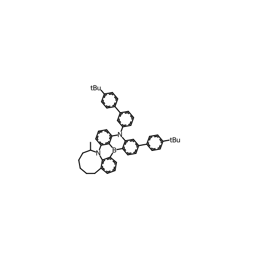 CC1CCCCCc2cccc3c2N1c1cccc2c1B3c1ccc(-c3ccc(C(C)(C)C)cc3)cc1N2c1cccc(-c2ccc(C(C)(C)C)cc2)c1